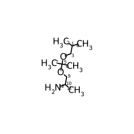 CC(C)COC(C)(C)OCC(C)N